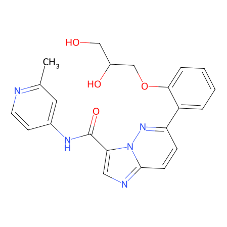 Cc1cc(NC(=O)c2cnc3ccc(-c4ccccc4OCC(O)CO)nn23)ccn1